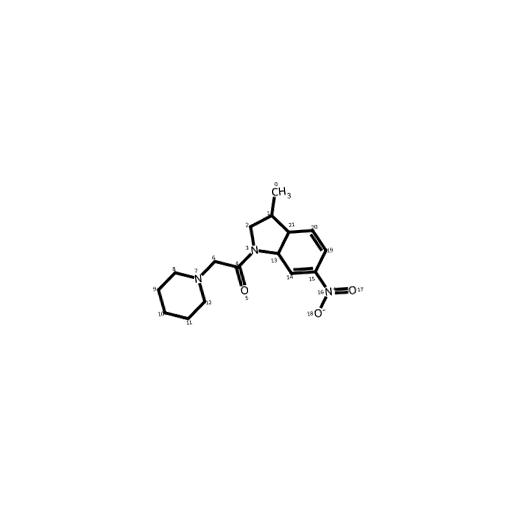 CC1CN(C(=O)CN2CCCCC2)C2C=C([N+](=O)[O-])C=CC12